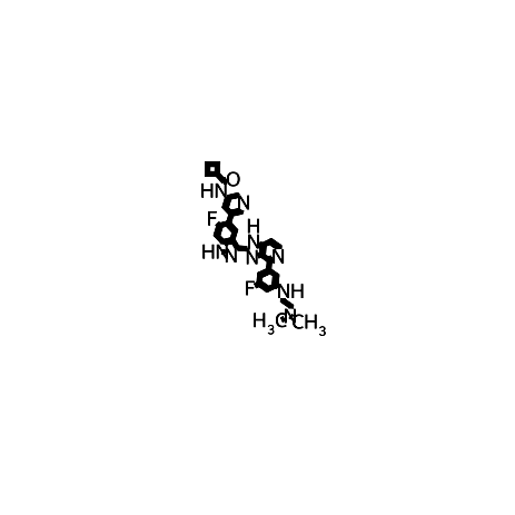 CN(C)CCNc1cc(F)cc(-c2nccc3[nH]c(-c4n[nH]c5cc(F)c(-c6cncc(NC(=O)C7CCC7)c6)cc45)nc23)c1